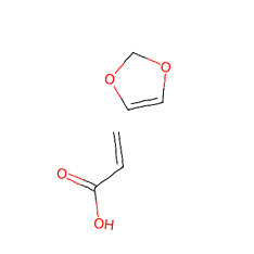 C1=COCO1.C=CC(=O)O